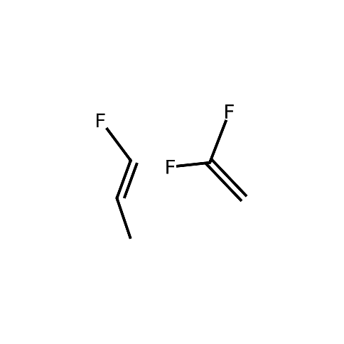 C=C(F)F.CC=CF